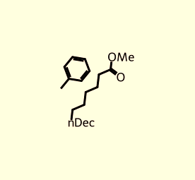 CCCCCCCCCCCCCCCC(=O)OC.Cc1ccccc1